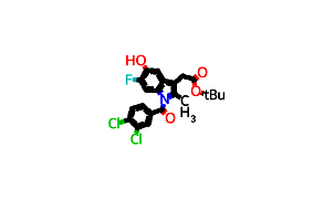 Cc1c(CC(=O)OC(C)(C)C)c2cc(O)c(F)cc2n1C(=O)c1ccc(Cl)c(Cl)c1